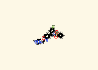 CN1CCN(Cc2nc3cc(-c4cn(S(=O)(=O)c5ccccc5)c5cc(F)ccc45)ccc3o2)CC1